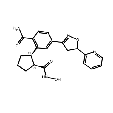 NC(=O)c1ccc(C2=NOC(c3ccccn3)C2)cc1[C@@H]1CCC[C@@H]1C(=O)NO